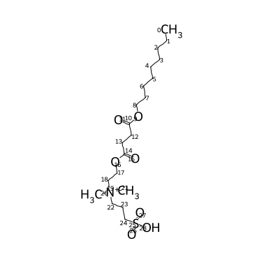 CCCCCCCCCOC(=O)CCC(=O)OCC[N+](C)(C)CCCS(=O)(=O)O